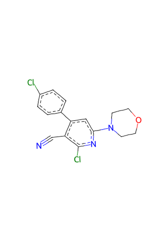 N#Cc1c(-c2ccc(Cl)cc2)cc(N2CCOCC2)nc1Cl